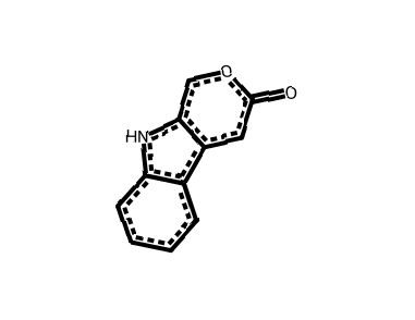 O=c1cc2c(co1)[nH]c1ccccc12